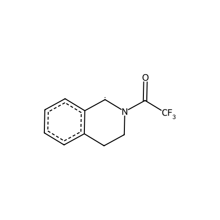 O=C(N1[CH]c2ccccc2CC1)C(F)(F)F